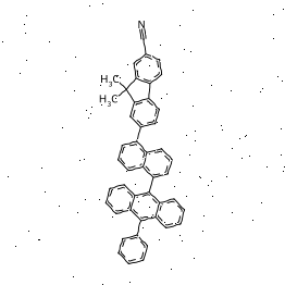 CC1(C)c2cc(C#N)ccc2-c2ccc(-c3cccc4c(-c5c6ccccc6c(-c6ccccc6)c6ccccc56)cccc34)cc21